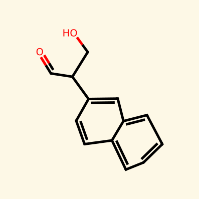 O=CC(CO)c1ccc2ccccc2c1